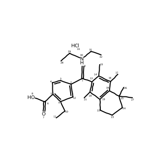 C=C(c1ccc(C(=O)O)c(CC)c1)c1c(C)c(C)c2c(c1C)CCCC2(C)C.CCNCC.Cl